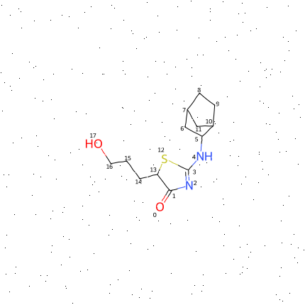 O=C1N=C(NC2CC3CCC2C3)SC1CCCO